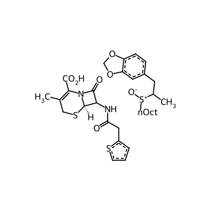 CC1=C(C(=O)O)N2C(=O)C(NC(=O)Cc3cccs3)[C@H]2SC1.CCCCCCCC[S+]([O-])C(C)Cc1ccc2c(c1)OCO2